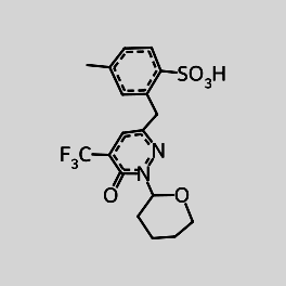 Cc1ccc(S(=O)(=O)O)c(Cc2cc(C(F)(F)F)c(=O)n(C3CCCCO3)n2)c1